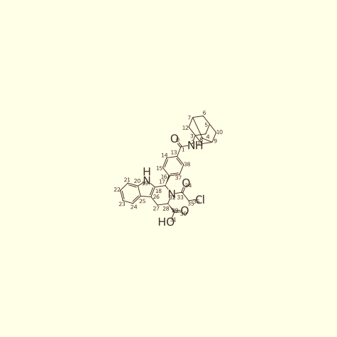 O=C(NC12CC3CC(CC(C3)C1)C2)c1ccc([C@@H]2c3[nH]c4ccccc4c3C[C@H](C(=O)O)N2C(=O)CCl)cc1